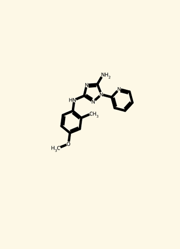 COc1ccc(Nc2nc(N)n(-c3ccccn3)n2)c(C)c1